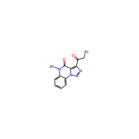 CC(=O)CC(=O)c1ncn2c1c(=O)n(C(C)C)c1ccccc12